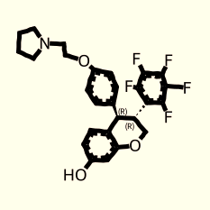 Oc1ccc2c(c1)OC[C@@H](c1c(F)c(F)c(F)c(F)c1F)[C@@H]2c1ccc(OCCN2CCCC2)cc1